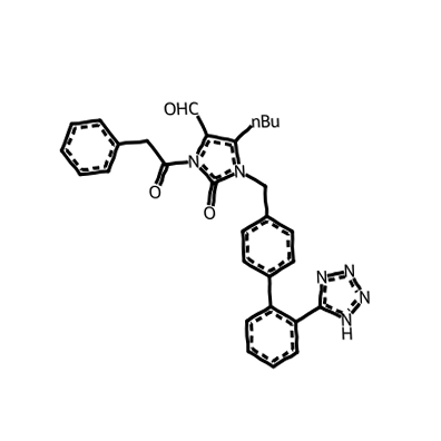 CCCCc1c(C=O)n(C(=O)Cc2ccccc2)c(=O)n1Cc1ccc(-c2ccccc2-c2nnn[nH]2)cc1